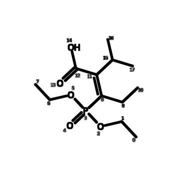 CCOP(=O)(OCC)C(CC)=C(C(=O)O)C(C)C